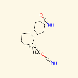 C1CCCCC1.C1CCCCC1.C=C.N=C=O.N=C=O